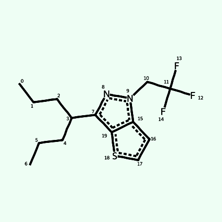 CCCC(CCC)c1nn(CC(F)(F)F)c2ccsc12